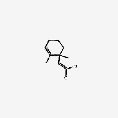 CC1=CCCCC1(C)C=C(Cl)Cl